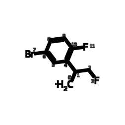 [CH2]C(CF)c1cc(Br)ccc1F